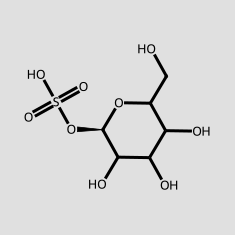 O=S(=O)(O)O[C@H]1OC(CO)C(O)C(O)C1O